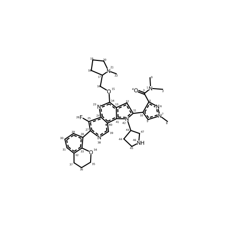 CN(C)C(=O)c1nn(C)cc1-c1cc2c(OCC3CCCN3C)nc3c(F)c(-c4cccc5c4OCCC5)ncc3c2n1C1CCNC1